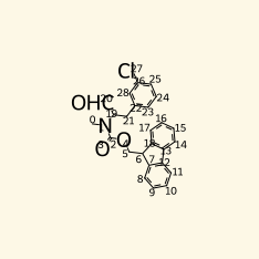 CN(C(=O)OCC1c2ccccc2-c2ccccc21)[C@H](C=O)Cc1cccc(Cl)c1